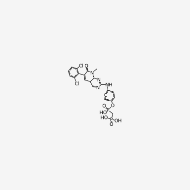 CN1C(=O)C(c2c(Cl)cccc2Cl)=CC2C=NC(Nc3ccc(OP(=O)(O)CP(=O)(O)O)cc3)=NC21